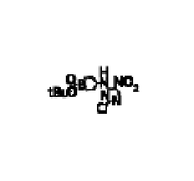 CC(C)(C)OC(=O)B1CCC(Nc2nc(Cl)ncc2[N+](=O)[O-])CC1